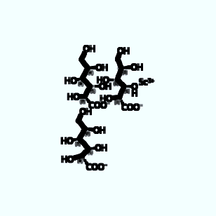 O=C([O-])[C@H](O)[C@@H](O)[C@H](O)[C@H](O)CO.O=C([O-])[C@H](O)[C@@H](O)[C@H](O)[C@H](O)CO.O=C([O-])[C@H](O)[C@@H](O)[C@H](O)[C@H](O)CO.[Sc+3]